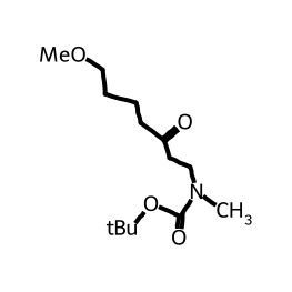 COCCCCC(=O)CCN(C)C(=O)OC(C)(C)C